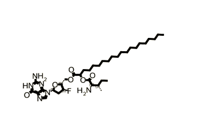 CCCCCCCCCCCCCCCCCCC(OC(=O)[C@@H](N)[C@@H](C)CC)C(=O)OC[C@H]1O[C@@H](n2cnc3c(=O)[nH]c(N)nc32)C[C@@H]1F